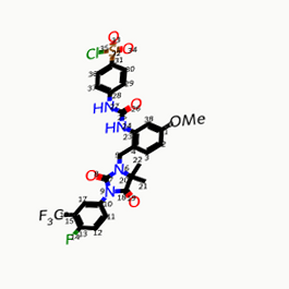 COc1ccc(CN2C(=O)N(c3ccc(F)c(C(F)(F)F)c3)C(=O)C2(C)C)c(NC(=O)Nc2ccc(S(=O)(=O)Cl)cc2)c1